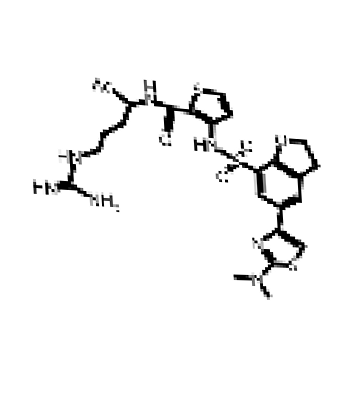 CC(=O)C(CCCNC(=N)N)NC(=O)c1sccc1NS(=O)(=O)c1cc(-c2csc(N(C)C)n2)cc2c1OCC2